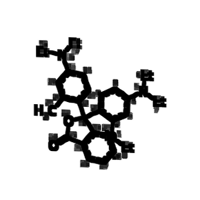 CCOc1cc(N(CC)CC)ccc1C1(c2ccc(N(CC)CC)cc2C)OC(=O)c2cccnc21